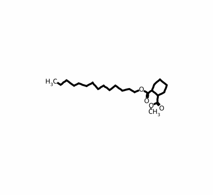 CCCCCCCCCCCCCCOC(=O)C1CCCCC1C(=O)OC